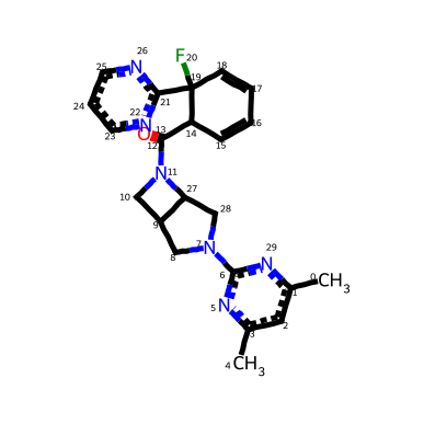 Cc1cc(C)nc(N2CC3CN(C(=O)C4C=CC=CC4(F)c4ncccn4)C3C2)n1